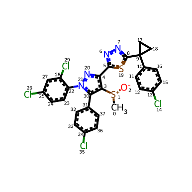 C[S+]([O-])c1c(-c2nnc(C3(c4ccc(Cl)cc4)CC3)s2)nn(-c2ccc(Cl)cc2Cl)c1-c1ccc(Cl)cc1